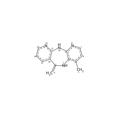 C=C1Nc2c(C)ccnc2Nc2ncccc21